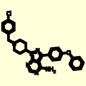 Nc1ncnc2c1c(-c1ccc(Oc3ccccc3)cc1)nn2C1CCN(Cc2ccc(Cl)cc2)CC1